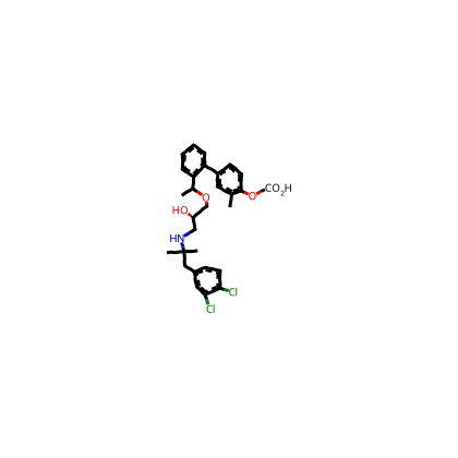 Cc1cc(-c2ccccc2C(C)OC[C@H](O)CNC(C)(C)Cc2ccc(Cl)c(Cl)c2)ccc1OC(=O)O